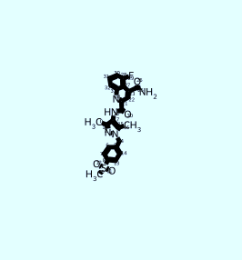 Cc1nn(Cc2ccc(S(C)(=O)=O)cc2)c(C)c1NC(=O)c1cc(C(N)=O)c2c(F)cccc2n1